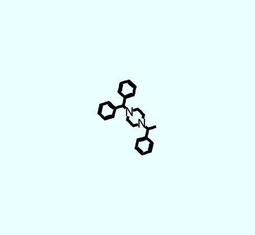 CC(c1ccccc1)N1CCN(C(c2ccccc2)c2ccccc2)CC1